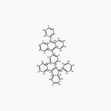 c1ccc(-c2c3ccccc3c(-c3ccc4c(c3)c3ccccc3c3c5ccccc5n(-c5ccccc5)c43)c3ccccc23)cc1